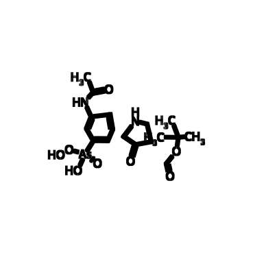 CC(=O)Nc1cccc([As](=O)(O)OO)c1.CC(C)(C)OC=O.O=C1CCNC1